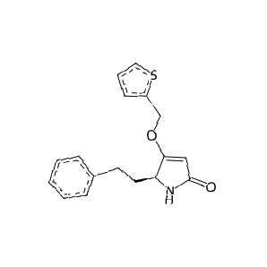 O=C1C=C(OCc2cccs2)[C@H](CCc2ccccc2)N1